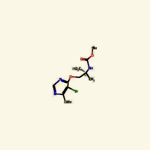 COc1ncnc(OC[C@](C)(NC(=O)OC(C)(C)C)C(=O)O)c1Br